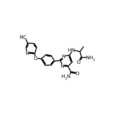 CC(Nc1cc(C(N)=O)nc(-c2ccc(Oc3ccc(C#N)cn3)cc2)n1)C(N)=O